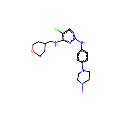 Clc1cnc(Nc2ccc(N3CCN(I)CC3)cc2)nc1NCC1CCOCC1